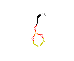 C=CCOP1OSSSO1